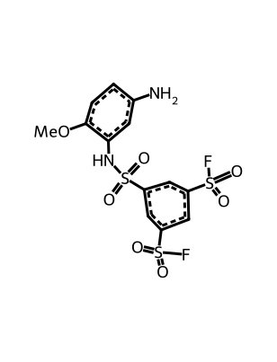 COc1ccc(N)cc1NS(=O)(=O)c1cc(S(=O)(=O)F)cc(S(=O)(=O)F)c1